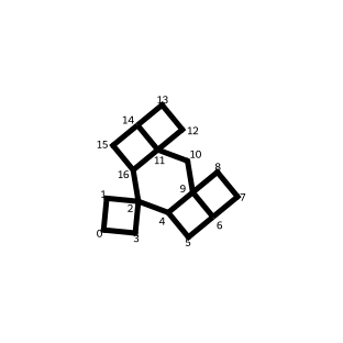 C1CC2(C1)C1CC3CCC31CC13CCC1CC32